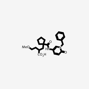 COCCC(CC1(C(=O)Nc2ccc(=O)n(Cc3ccccc3)c2)CCCC1)C(=O)O